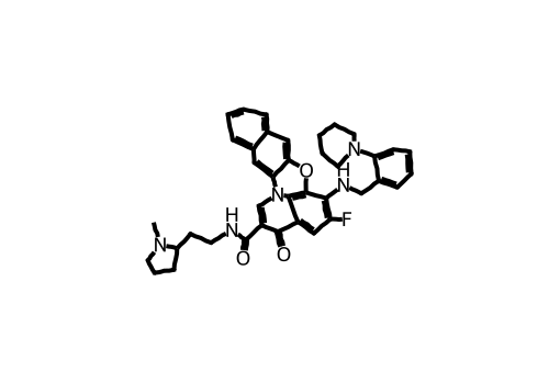 CN1CCCC1CCNC(=O)c1cn2c3c(c(NCc4ccccc4N4CCCCC4)c(F)cc3c1=O)Oc1cc3ccccc3cc1-2